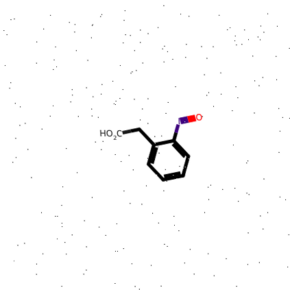 O=Ic1ccccc1CC(=O)O